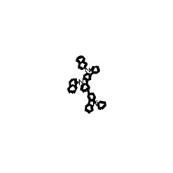 c1ccc(-n2c3ccccc3c3cc(-c4ccc5c(c4)c4cc6c7ccccc7n(-c7ccc8ccccc8c7)c6cc4n5-c4cccc5ccccc45)ccc32)cc1